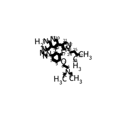 CCN(CC)CCOc1ccc(-n2nnnc2-c2cc(-c3cnn(CCC(C)C)c3)cnc2N)c(F)c1F